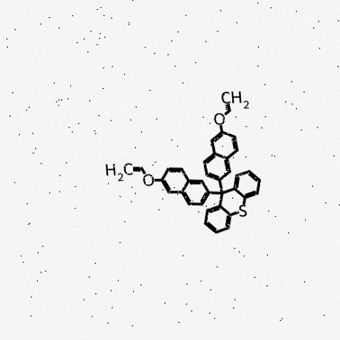 C=COc1ccc2cc(C3(c4ccc5cc(OC=C)ccc5c4)c4ccccc4Sc4ccccc43)ccc2c1